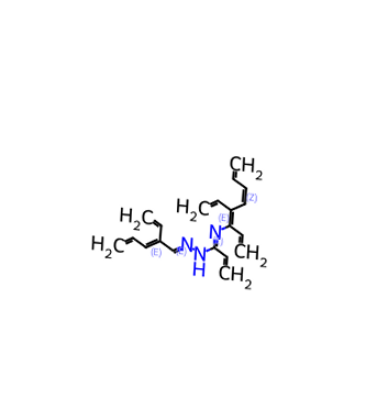 C=C\C=C/C(C=C)=C(C=C)/N=C(\C=C)N/N=C/C(C=C)=C/C=C